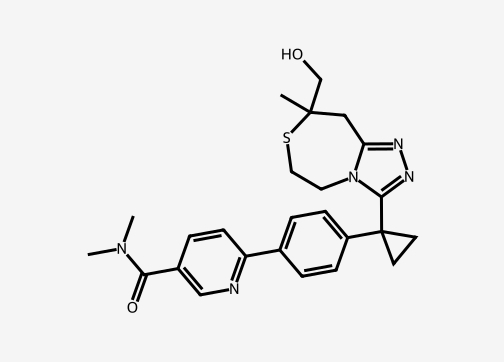 CN(C)C(=O)c1ccc(-c2ccc(C3(c4nnc5n4CCSC(C)(CO)C5)CC3)cc2)nc1